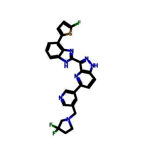 Fc1ccc(-c2cccc3[nH]c(-c4n[nH]c5ccc(-c6cncc(CN7CCC(F)(F)C7)c6)nc45)nc23)s1